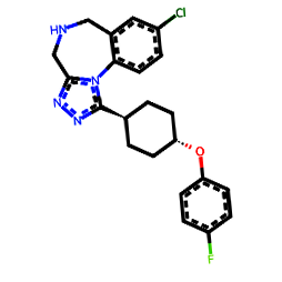 Fc1ccc(O[C@H]2CC[C@H](c3nnc4n3-c3ccc(Cl)cc3CNC4)CC2)cc1